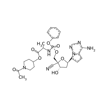 CC(=O)N1CCC(OC(=O)C(C)NP(=O)(OC[C@@]2(C#N)O[C@@H](c3ccc4c(N)ncnn34)C[C@@H]2O)Oc2ccccc2)CC1